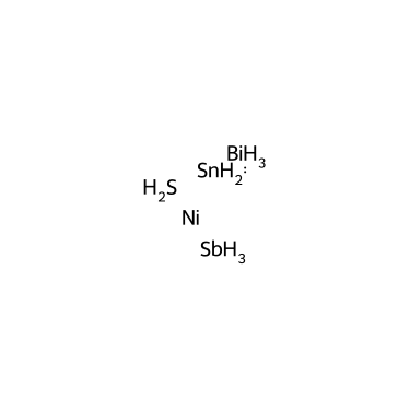 S.[BiH3].[Ni].[SbH3].[SnH2]